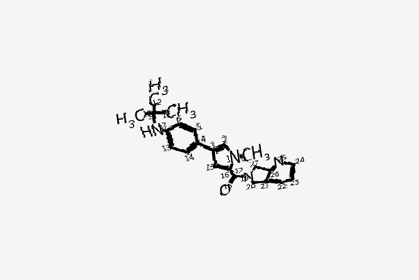 Cn1cc(-c2ccc(NC(C)(C)C)cc2)cc1C(=O)N1Cc2cccnc2C1